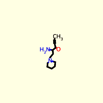 CC#CC(=O)C(N)CCN1CCCCC1